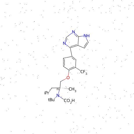 CC(C)C[C@@](C)(COc1ccc(-c2ncnc3[nH]ccc23)cc1C(F)(F)F)N(C(=O)O)C(C)(C)C